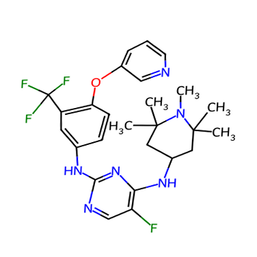 CN1C(C)(C)CC(Nc2nc(Nc3ccc(Oc4cccnc4)c(C(F)(F)F)c3)ncc2F)CC1(C)C